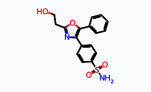 NS(=O)(=O)c1ccc(-c2nc(CCO)oc2-c2ccccc2)cc1